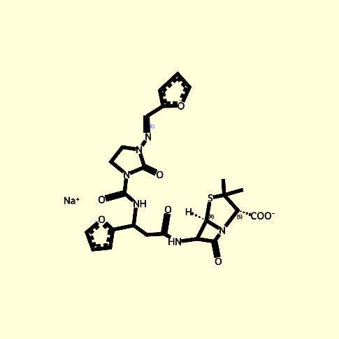 CC1(C)S[C@@H]2C(NC(=O)CC(NC(=O)N3CCN(/N=C/c4ccco4)C3=O)c3ccco3)C(=O)N2[C@H]1C(=O)[O-].[Na+]